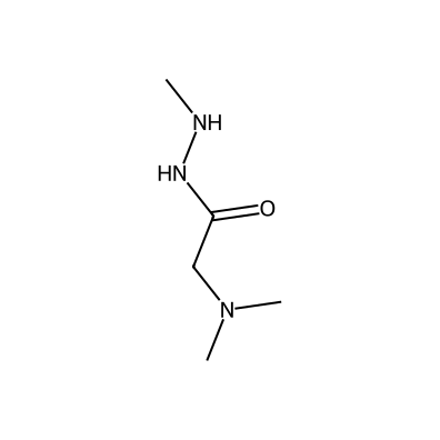 CNNC(=O)CN(C)C